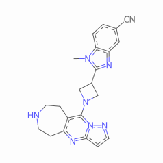 Cn1c(C2CN(c3c4c(nc5ccnn35)CCNCC4)C2)nc2cc(C#N)ccc21